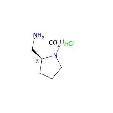 Cl.NC[C@@H]1CCCN1C(=O)O